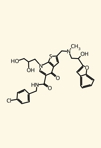 CN(Cc1cc2c(=O)c(C(=O)NCc3ccc(Cl)cc3)cn(CC(O)CO)c2s1)CC(O)c1cc2ccccc2o1